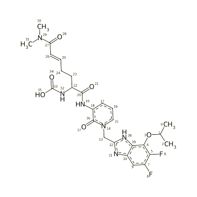 CC(C)Oc1c(F)c(F)cc2nc(Cn3cccc(NC(=O)C(CC/C=C/C(=O)N(C)C)NC(=O)O)c3=O)[nH]c12